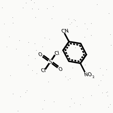 N#Cc1ccc([N+](=O)[O-])cc1.O=S(=O)(Cl)Cl